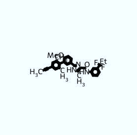 CC#Cc1cc(C)c(-c2cc(-c3nc(C(=O)Nc4cccc(C(F)(F)CC)c4)c(C)[nH]3)ccc2OC)c(C)c1